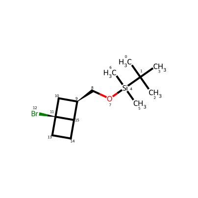 CC(C)(C)[Si](C)(C)OC[C@@H]1C[C@@]2(Br)CCC12